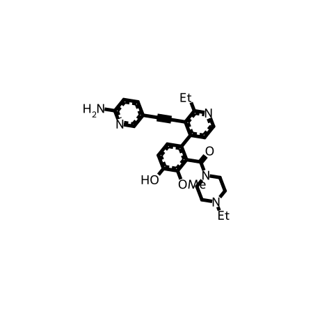 CCc1nccc(-c2ccc(O)c(OC)c2C(=O)N2CCN(CC)CC2)c1C#Cc1ccc(N)nc1